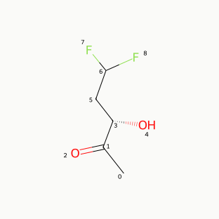 CC(=O)[C@@H](O)CC(F)F